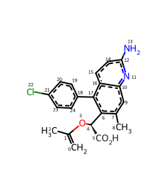 C=C(C)O[C@H](C(=O)O)c1c(C)cc2nc(N)ccc2c1-c1ccc(Cl)cc1